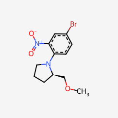 COC[C@H]1CCCN1c1ccc(Br)cc1[N+](=O)[O-]